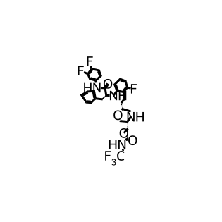 O=C(NCC(F)(F)F)OC[C@@H]1CO[C@H](CCc2c(F)cccc2N[C@@H](Cc2ccccc2)C(=O)Nc2ccc(F)c(F)c2)CN1